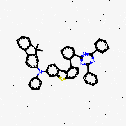 CC1(C)c2ccccc2-c2ccc(N(c3ccccc3)c3ccc4c(c3)sc3cccc(-c5ccccc5-c5nc(-c6ccccc6)nc(-c6ccccc6)n5)c34)cc21